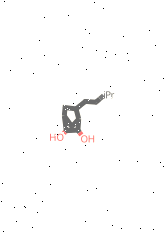 CC(C)CCC1CC2CC1C(O)C2O